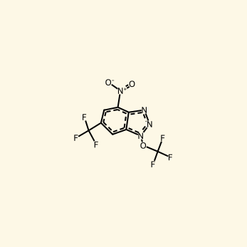 O=[N+]([O-])c1cc(C(F)(F)F)cc2c1nnn2OC(F)(F)F